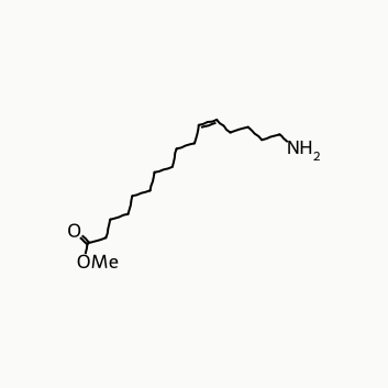 COC(=O)CCCCCCCCC/C=C\CCCCN